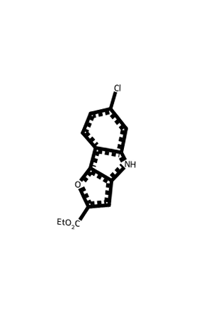 CCOC(=O)c1cc2[nH]c3cc(Cl)ccc3c2o1